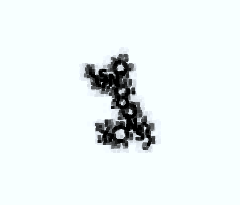 CCc1ccc(N(C2=CC=CC(C)(C(C)(C)C)C=C2)c2ccc3c(c2)Cc2cc(N(c4ccccc4)c4ccc(CC)s4)ccc2-3)s1